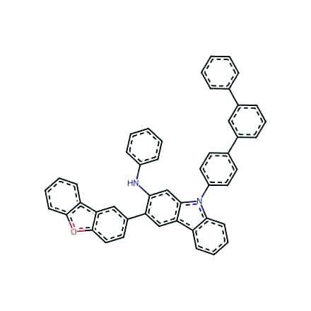 c1ccc(Nc2cc3c(cc2-c2ccc4oc5ccccc5c4c2)c2ccccc2n3-c2ccc(-c3cccc(-c4ccccc4)c3)cc2)cc1